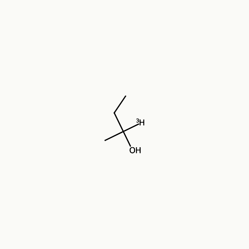 [3H]C(C)(O)CC